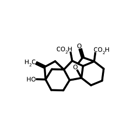 C=C1CC23CC1(O)CCC2C12CCCC(C(=O)O)(C(=O)O1)C2C3C(=O)O